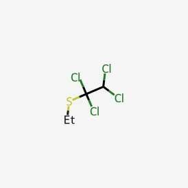 CCSC(Cl)(Cl)C(Cl)Cl